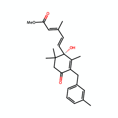 COC(=O)C=C(C)C=C[C@@]1(O)C(C)=C(Cc2cccc(C)c2)C(=O)CC1(C)C